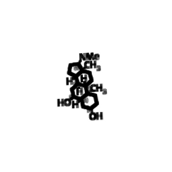 CN[C@H]1CC[C@H]2[C@@H]3C[C@H](O)[C@H]4C[C@@H](O)CC[C@]4(C)[C@H]3CC[C@]12C